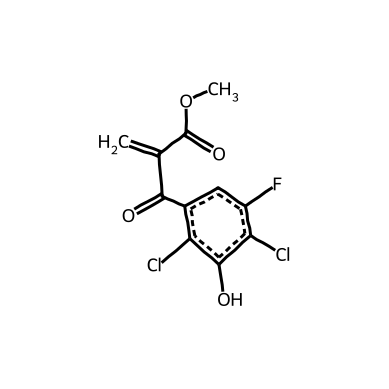 C=C(C(=O)OC)C(=O)c1cc(F)c(Cl)c(O)c1Cl